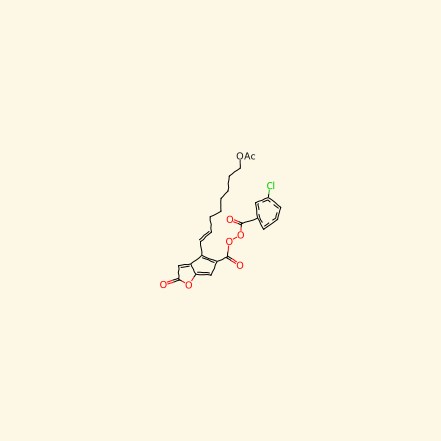 CC(=O)OCCCCCC/C=C/C1=C(C(=O)OOC(=O)c2cccc(Cl)c2)C=C2OC(=O)C=C21